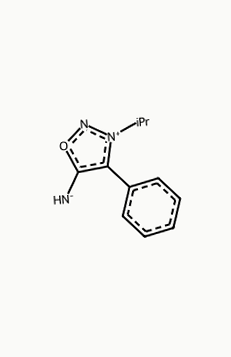 CC(C)[n+]1noc([NH-])c1-c1ccccc1